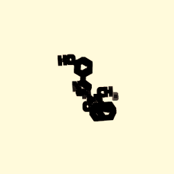 CN(C(=O)n1cnc(-c2cccc(O)c2)c1)C12CC3CC(CC(C3)C1)C2